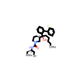 CNC[C@H](CC(C)C)NC(=O)N1CCC[C@@H]([C@@](O)(CCCCOC)c2ccccc2-c2ccccc2F)C1